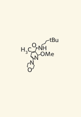 COc1nc(N2CCOCC2)cc(C)c1C(=O)NCCCC(C)(C)C